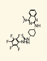 CN(C)c1nc(N[C@H]2CC[C@@H](NC(=S)Nc3c(F)c(F)c(F)c(F)c3F)CC2)nc2ccccc12